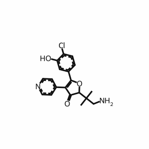 CC(C)(CN)C1OC(c2ccc(Cl)c(O)c2)=C(c2ccncc2)C1=O